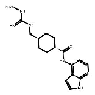 CCCCCCCCNC(=N)NC[C@H]1CC[C@H](C(=O)Nc2ccnc3[nH]ccc23)CC1